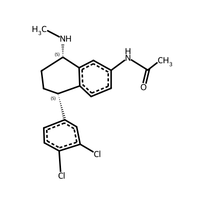 CN[C@H]1CC[C@@H](c2ccc(Cl)c(Cl)c2)c2ccc(NC(C)=O)cc21